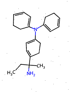 CCC(C)(N)C1=CC=C(N(C2=CC=CCC2)C2=CC=CCC2)CC1